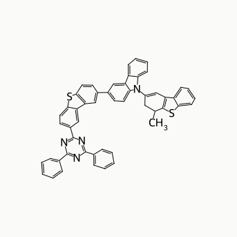 CC1CC(n2c3ccccc3c3cc(-c4ccc5sc6ccc(-c7nc(-c8ccccc8)nc(-c8ccccc8)n7)cc6c5c4)ccc32)=Cc2c1sc1ccccc21